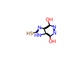 Oc1nnc(O)c2[nH]c(S)nc12